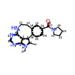 Cc1c2c3c(ncnc3n1C)NCCc1cc(C(=O)N3CCCC3)ccc1-2